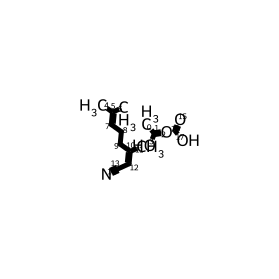 CC(=O)O.CC(C)=CCC/C(C)=C\C#N.O=CO